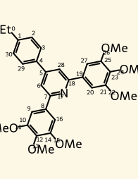 CCc1ccc(-c2cc(-c3cc(OC)c(OC)c(OC)c3)nc(-c3cc(OC)c(OC)c(OC)c3)c2)cc1